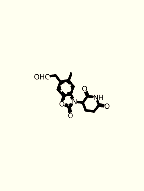 Cc1cc2c(cc1CC=O)oc(=O)n2C1CCC(=O)NC1=O